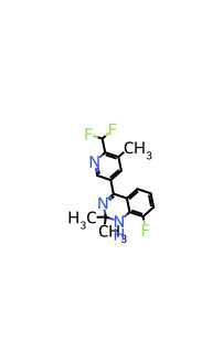 Cc1cc(C2=NC(C)(C)Nc3c(F)cccc32)cnc1C(F)F